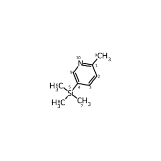 Cc1ccc([Si](C)(C)C)cn1